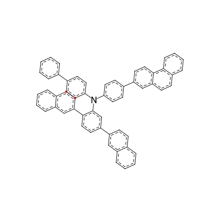 c1ccc(-c2ccc(N(c3ccc(-c4ccc5c(ccc6ccccc65)c4)cc3)c3cc(-c4ccc5ccccc5c4)ccc3-c3ccc4ccccc4c3)cc2)cc1